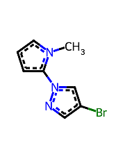 Cn1cccc1-n1cc(Br)cn1